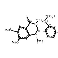 COc1cc2c(cc1OC)[C@@H](C(=O)O)[C@@H](c1ccccc1NC(=O)O)N(C)C2=O